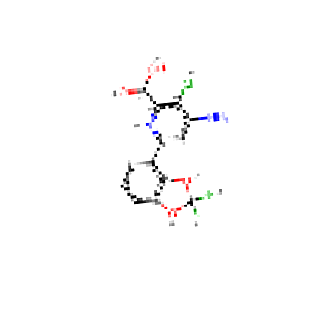 Nc1cc(-c2cccc3c2OC(F)(F)O3)nc(C(=O)O)c1Cl